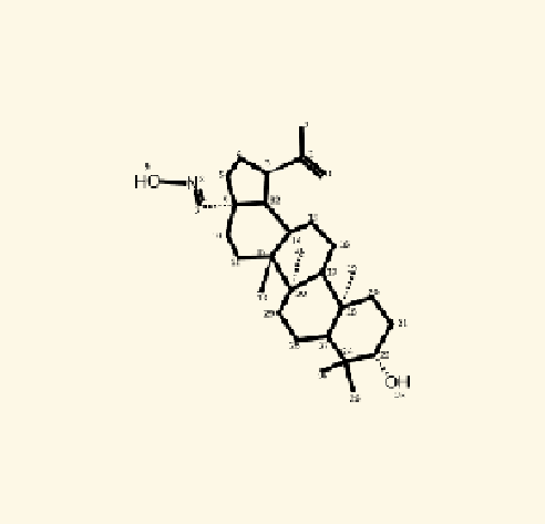 C=C(C)[C@@H]1CC[C@]2(/C=N/O)CC[C@]3(C)C(CCC4[C@@]5(C)CC[C@H](O)C(C)(C)C5CC[C@]43C)C12